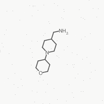 NCC1CCN(C2CCOCC2)CC1